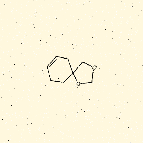 C1=CCC2(CC1)COCO2